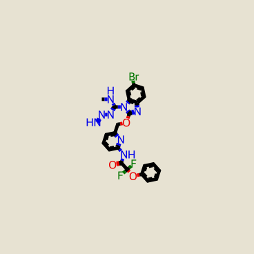 CN/C(=N\N=N)n1c(OCc2cccc(NC(=O)C(F)(F)Oc3ccccc3)n2)nc2ccc(Br)cc21